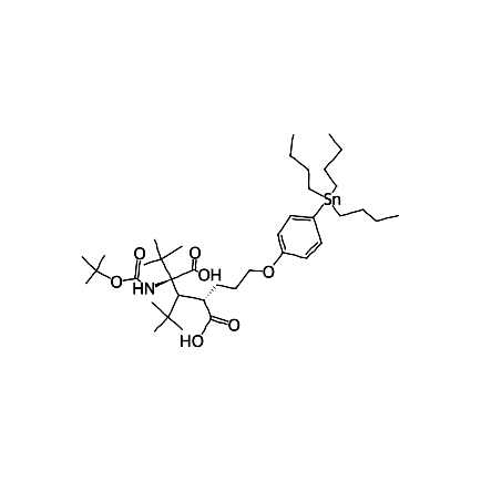 CCC[CH2][Sn]([CH2]CCC)([CH2]CCC)[c]1ccc(OCCC[C@H](C(=O)O)C(C(C)(C)C)[C@@](NC(=O)OC(C)(C)C)(C(=O)O)C(C)(C)C)cc1